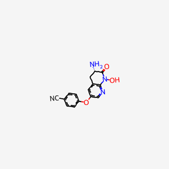 N#Cc1ccc(Oc2cnc3c(c2)C[C@H](N)C(=O)N3O)cc1